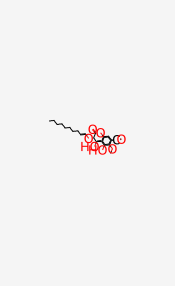 CCCCCCCCC=COC1C(=O)Oc2cc(=C=O)c(OC)c(O)c2=C1O